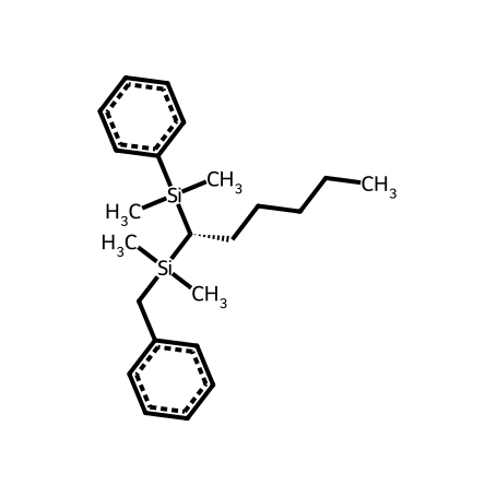 CCCCC[C@H]([Si](C)(C)Cc1ccccc1)[Si](C)(C)c1ccccc1